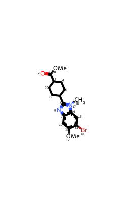 COC(=O)C1CCC(c2nc3cc(OC)c(Br)cc3n2C)CC1